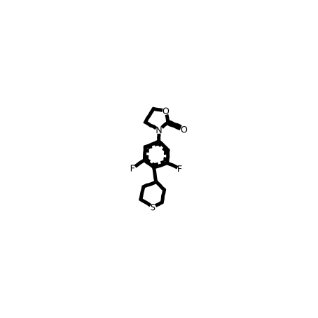 O=C1OCCN1c1cc(F)c(C2CCSCC2)c(F)c1